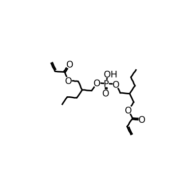 C=CC(=O)OCC(CCC)COP(=O)(O)OCC(CCC)COC(=O)C=C